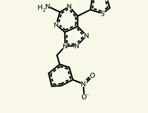 Nc1nc(-c2cncs2)c2nnn(Cc3cccc([N+](=O)[O-])c3)c2n1